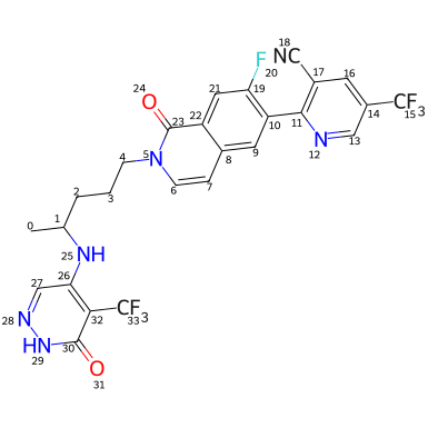 CC(CCCn1ccc2cc(-c3ncc(C(F)(F)F)cc3C#N)c(F)cc2c1=O)Nc1cn[nH]c(=O)c1C(F)(F)F